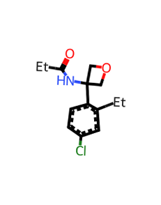 CCC(=O)NC1(c2ccc(Cl)cc2CC)COC1